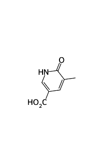 Cc1cc(C(=O)O)c[nH]c1=O